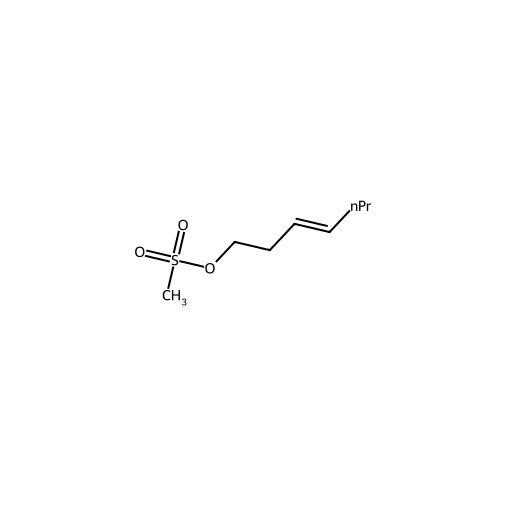 CCCC=CCCOS(C)(=O)=O